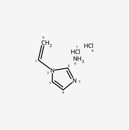 C=Cn1ccnc1.Cl.Cl.N